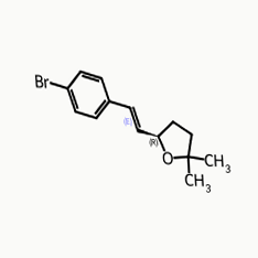 CC1(C)CC[C@H](/C=C/c2ccc(Br)cc2)O1